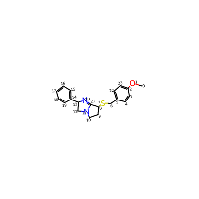 COc1ccc(CSC2CCN3CC(c4ccccc4)N=C23)cc1